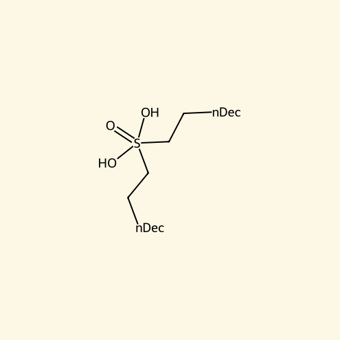 CCCCCCCCCCCCS(=O)(O)(O)CCCCCCCCCCCC